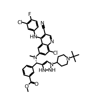 COC(=O)c1cccc([C@@H](C2=CN(C3CCN(C(C)(C)C)CC3)NN2)N(C)c2cc(Cl)c3ncc(C#N)c(Nc4ccc(F)c(Cl)c4)c3c2)c1